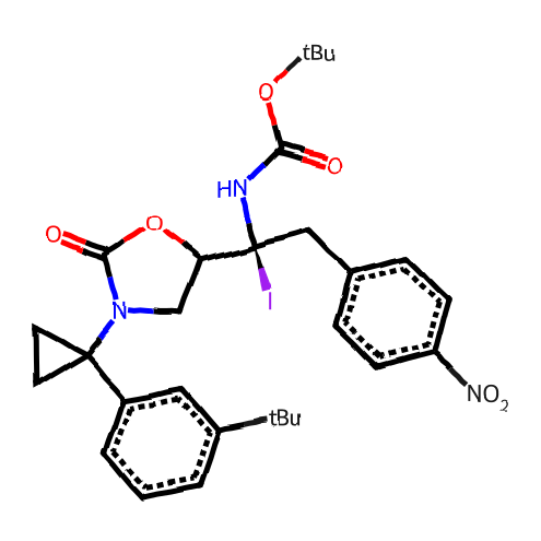 CC(C)(C)OC(=O)N[C@](I)(Cc1ccc([N+](=O)[O-])cc1)C1CN(C2(c3cccc(C(C)(C)C)c3)CC2)C(=O)O1